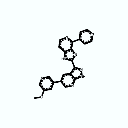 COc1cncc(-c2cnc3[nH]nc(-c4nc5c(-c6ccncc6)nccc5[nH]4)c3c2)c1